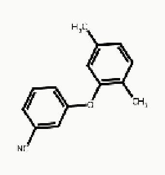 Cc1ccc(C)c(Oc2cccc(C#N)c2)c1